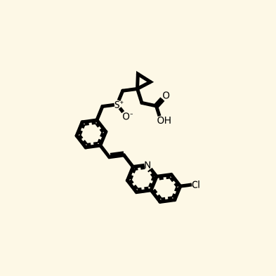 O=C(O)CC1(C[S+]([O-])Cc2cccc(/C=C/c3ccc4ccc(Cl)cc4n3)c2)CC1